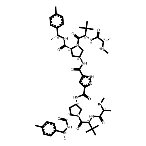 CN[C@@H](C)C(=O)N[C@H](C(=O)N1C[C@@H](NC(=O)c2cc(C(=O)N[C@H]3C[C@@H](C(=O)N[C@H](C)c4ccc(C)cc4)N(C(=O)[C@@H](NC(=O)[C@H](C)NC)C(C)(C)C)C3)[nH]n2)C[C@H]1C(=O)N[C@H](C)c1ccc(C)cc1)C(C)(C)C